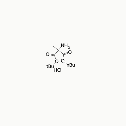 CCCCOC(=O)C(C)(N)C(=O)OC(C)(C)C.Cl